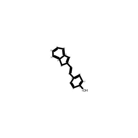 Oc1ccc(C=CC2=Cc3ccccc3C2)cc1